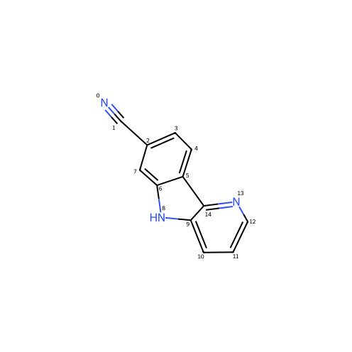 N#Cc1ccc2c(c1)[nH]c1cccnc12